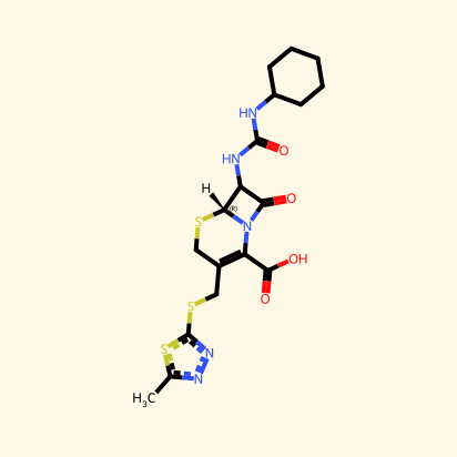 Cc1nnc(SCC2=C(C(=O)O)N3C(=O)C(NC(=O)NC4CCCCC4)[C@H]3SC2)s1